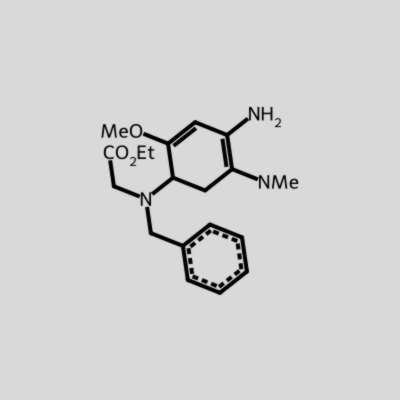 CCOC(=O)CN(Cc1ccccc1)C1CC(NC)=C(N)C=C1OC